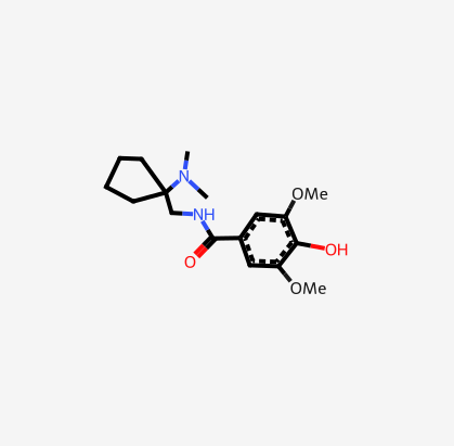 COc1cc(C(=O)NCC2(N(C)C)CCCC2)cc(OC)c1O